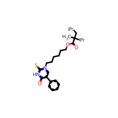 CC(C)CC(C)(C(=O)OCCCCCCn1cc(-c2ccccc2)c(=O)[nH]c1=S)C(C)C